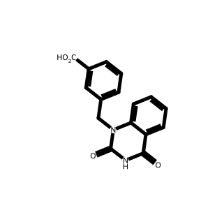 O=C(O)c1cccc(Cn2c(=O)[nH]c(=O)c3ccccc32)c1